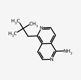 CC(C)(C)Cc1nccc2c(N)nccc12